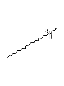 C=CCNC(=O)CCCC=CCC=CCC=CCC=CCCCCC